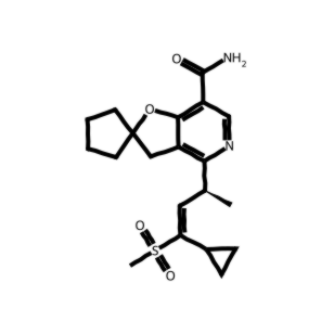 C[C@@H](/C=C(\C1CC1)S(C)(=O)=O)c1ncc(C(N)=O)c2c1CC1(CCCC1)O2